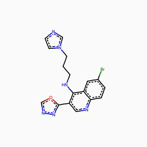 Brc1ccc2ncc(-c3nnco3)c(NCCCn3ccnc3)c2c1